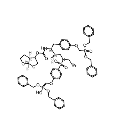 CC(C)CN(C[C@@H](O)[C@H](Cc1ccc(OCP(=O)(OCc2ccccc2)OCc2ccccc2)cc1)NC(=O)OC1CO[C@H]2OCC[C@@H]12)S(=O)(=O)c1ccc(OC=P(O)(OCc2ccccc2)OCc2ccccc2)cc1